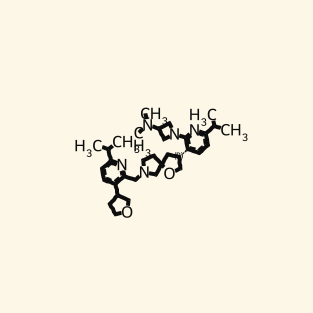 CC(C)c1ccc(C2CCOC2)c(CN2CCC3(C[C@H](c4ccc(C(C)C)nc4N4CC(N(C)C)C4)CO3)C2)n1